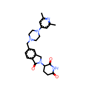 Cc1cc(N2CCN(Cc3ccc4c(c3)CN(C3CCC(=O)NC3=O)C4=O)CC2)cc(C)n1